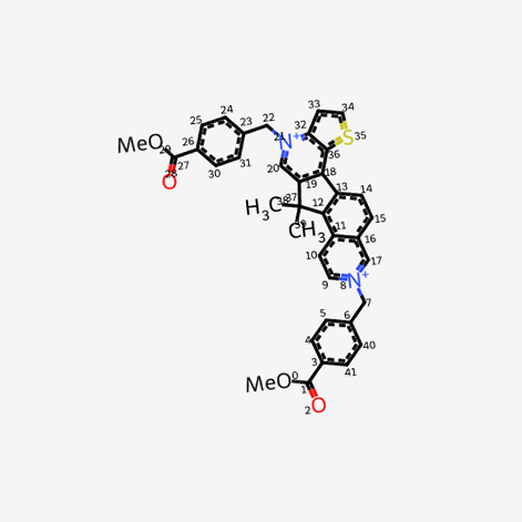 COC(=O)c1ccc(C[n+]2ccc3c4c(ccc3c2)-c2c(c[n+](Cc3ccc(C(=O)OC)cc3)c3ccsc23)C4(C)C)cc1